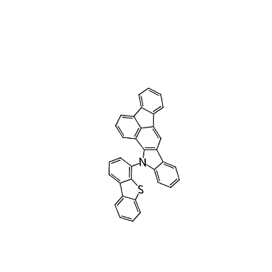 c1ccc2c(c1)-c1cccc3c1c-2cc1c2ccccc2n(-c2cccc4c2sc2ccccc24)c31